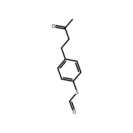 CC(=O)CCc1ccc(SC=O)cc1